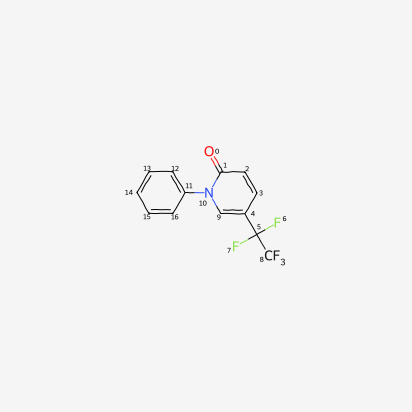 O=c1ccc(C(F)(F)C(F)(F)F)cn1-c1ccccc1